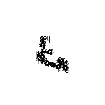 CCOP(=O)(Nc1ccc(N2CCN(c3cc(F)cc(-c4c(S(C)(=O)=O)c(C)n(C(C)C)c4-c4ccc(Cl)cc4)c3)CC2)cc1)c1ccc(NC(CCN2CCC(OP(=O)(O)O)CC2)CSc2ccccc2)c([N+](=O)[O-])c1